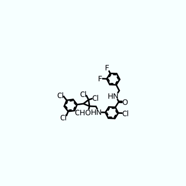 O=CC1(CNc2ccc(Cl)c(C(=O)NCc3ccc(F)c(F)c3)c2)C(c2cc(Cl)cc(Cl)c2)C1(Cl)Cl